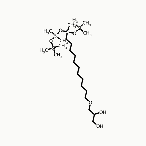 C[Si](C)(C)O[Si](C)(C)O[Si](C)(CCCCCCCCCCCOCC(O)CO)O[Si](C)(C)C